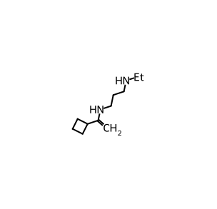 C=C(NCCCNCC)C1CCC1